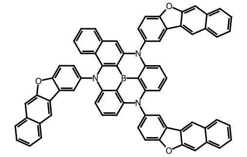 c1cc2c3c(c1)N(c1ccc4oc5cc6ccccc6cc5c4c1)c1cc4ccccc4c4c1B3c1c(cccc1N4c1ccc3oc4cc5ccccc5cc4c3c1)N2c1ccc2oc3cc4ccccc4cc3c2c1